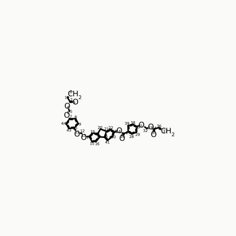 C=CC(=O)OCOc1ccc(OCOc2ccc3c(c2)Cc2cc(OC(=O)c4ccc(OCOC(=O)C=C)cc4)ccc2-3)cc1